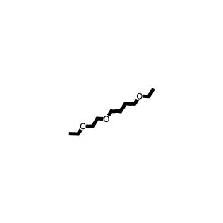 CCOCCCCOCCOCC